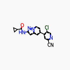 N#Cc1cc(-c2ccn3nc(NC(=O)C4CC4)cc3c2)c(Cl)cn1